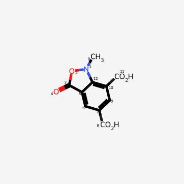 Cn1oc(=O)c2cc(C(=O)O)cc(C(=O)O)c21